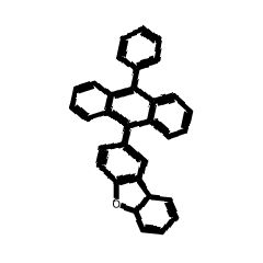 C1=CC2Oc3ccc(-c4c5ccccc5c(-c5ccccc5)c5ccccc45)cc3C2C=C1